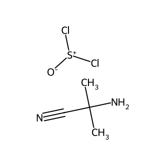 CC(C)(N)C#N.[O-][S+](Cl)Cl